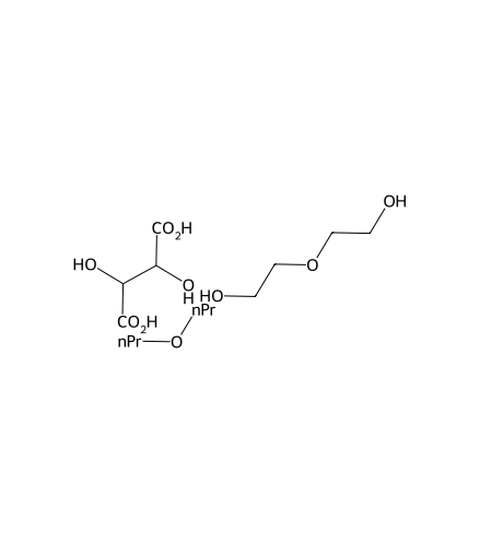 CCCOCCC.O=C(O)C(O)C(O)C(=O)O.OCCOCCO